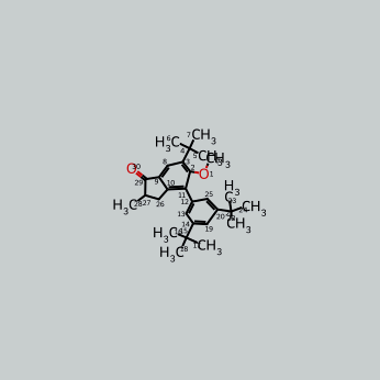 COc1c(C(C)(C)C)cc2c(c1-c1cc(C(C)(C)C)cc(C(C)(C)C)c1)CC(C)C2=O